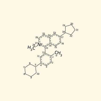 Cc1ccc(C2CCCCC2)cc1-c1c2ccc(C3CCCC3)cc2cc[n+]1C